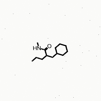 CCCC(CC1CCCCC1)C(=O)NC